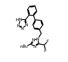 CCCCc1nc(C(F)F)n(Cc2ccc(-c3ccccc3-c3nnn[nH]3)cc2)n1